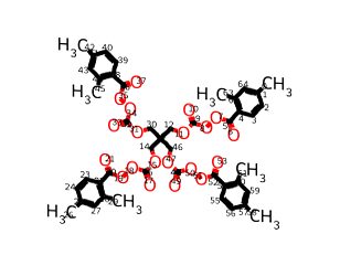 Cc1ccc(C(=O)OOC(=O)OCC(COC(=O)OOC(=O)c2ccc(C)cc2C)(COC(=O)OOC(=O)c2ccc(C)cc2C)COC(=O)OOC(=O)c2ccc(C)cc2C)c(C)c1